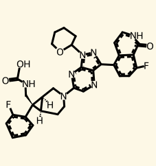 O=C(O)NC[C@]1(c2ccccc2F)[C@@H]2CCN(c3cnc4c(-c5ccc(F)c6c(=O)[nH]ccc56)nn(C5CCCCO5)c4n3)C[C@@H]21